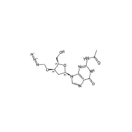 CC(=O)Nc1nc2c(ncn2[C@H]2C[C@@H](OCN=[N+]=[N-])[C@@H](CO)O2)c(=O)[nH]1